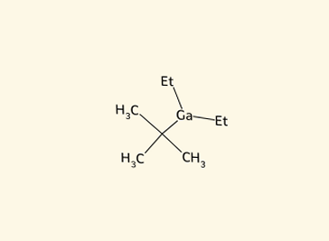 C[CH2][Ga]([CH2]C)[C](C)(C)C